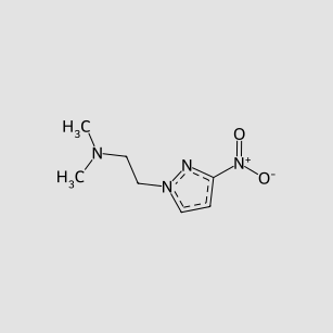 CN(C)CCn1ccc([N+](=O)[O-])n1